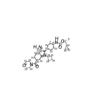 C[C@@H](OC(=O)Nc1ccc(-c2c(N)c3ccc(C(=O)N4CCOCC4)cc3n2C2CCC2)cc1)C1CC1